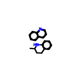 CC1CCc2ccccc2N1.c1ccc2ncccc2c1